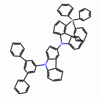 c1ccc(-c2cc(-c3ccccc3)cc(-n3c4ccccc4c4cc(-n5c6ccccc6c6c([Si](c7ccccc7)(c7ccccc7)c7ccccc7)cccc65)ccc43)c2)cc1